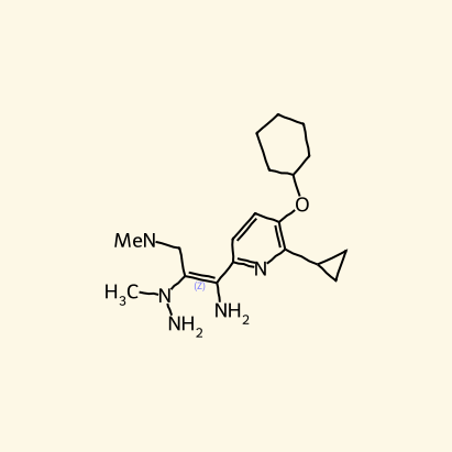 CNC/C(=C(/N)c1ccc(OC2CCCCC2)c(C2CC2)n1)N(C)N